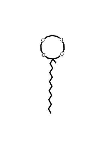 CCCCCCCCCCCCC1(C)COCCOCCCOCCOC1